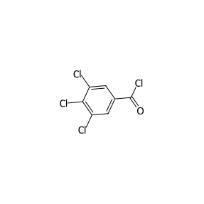 O=C(Cl)c1cc(Cl)c(Cl)c(Cl)c1